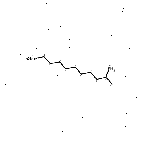 CCCCCCCCCCCCCCC(C)P